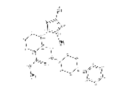 COC(=O)N1CCC[C@H](c2nc(O)sc2C)[C@@H]1CO[C@H]1CC[C@@H](c2ccccc2)CC1